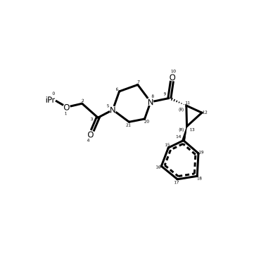 CC(C)OCC(=O)N1CCN(C(=O)[C@@H]2C[C@H]2c2ccccc2)CC1